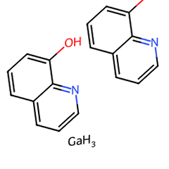 Oc1cccc2cccnc12.Oc1cccc2cccnc12.[GaH3]